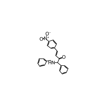 O=C(C=Cc1ccc([N+](=O)[O-])cc1)C(NCc1ccccc1)c1ccccc1